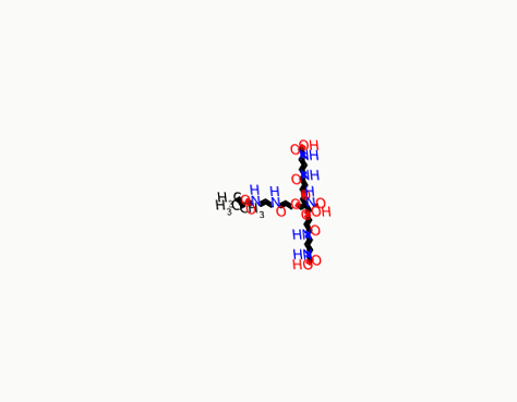 CC(C)(C)OC(=O)NCCCNC(=O)CCOCC(COCCC(=O)NCCCNC(=O)O)(COCCC(=O)NCCCNC(=O)O)NC(=O)O